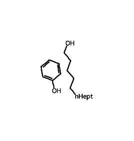 CCCCCCCCCCCCO.Oc1ccccc1